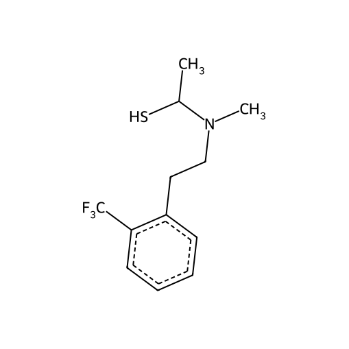 CC(S)N(C)CCc1ccccc1C(F)(F)F